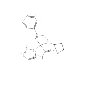 NC(=O)C1(n2ccnn2)C=C(c2ccccc2)ON1C1CCC1